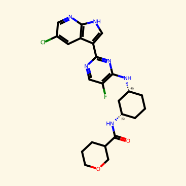 O=C(N[C@H]1CCC[C@@H](Nc2nc(-c3c[nH]c4ncc(Cl)cc34)ncc2F)C1)C1CCCOC1